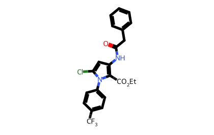 CCOC(=O)c1c(NC(=O)Cc2ccccc2)cc(Cl)n1-c1ccc(C(F)(F)F)cc1